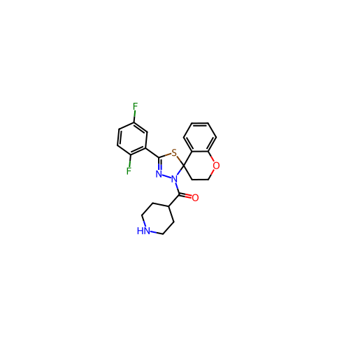 O=C(C1CCNCC1)N1N=C(c2cc(F)ccc2F)SC12CCOc1ccccc12